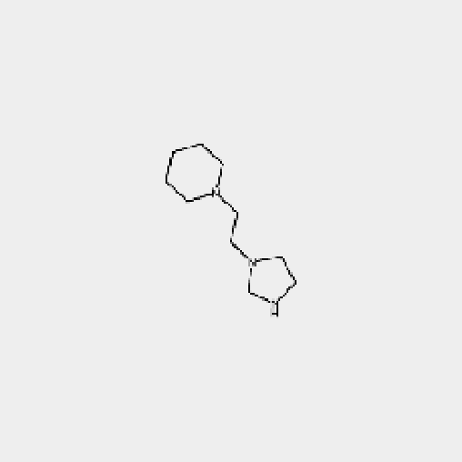 C1CCN(CCN2CCNC2)CC1